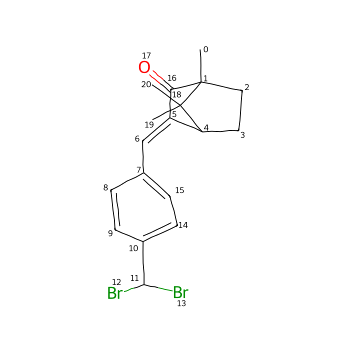 CC12CCC(C(=Cc3ccc(C(Br)Br)cc3)C1=O)C2(C)C